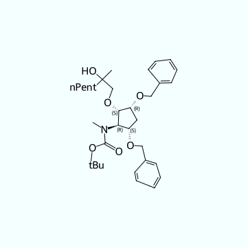 CCCCCC(C)(O)CO[C@H]1[C@H](N(C)C(=O)OC(C)(C)C)[C@@H](OCc2ccccc2)C[C@H]1OCc1ccccc1